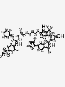 Cc1cc(S(N)(=O)=O)ccc1N[C@H](CCN(C)CCCCCCC(=O)N[C@H](C(=O)N1C[C@H](O)C[C@H]1C(=O)N[C@@H](C)c1ccc(-c2scnc2C)cc1)C(C)(C)C)CSc1ccccc1